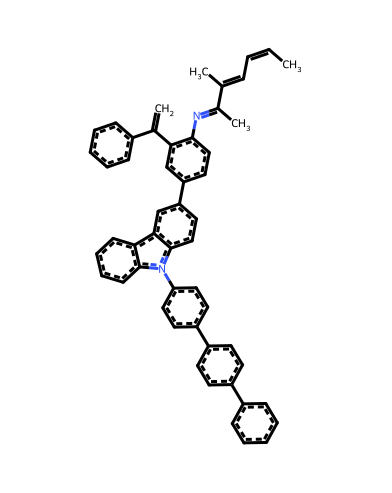 C=C(c1ccccc1)c1cc(-c2ccc3c(c2)c2ccccc2n3-c2ccc(-c3ccc(-c4ccccc4)cc3)cc2)ccc1/N=C(C)/C(C)=C/C=C\C